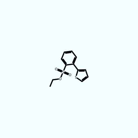 CCOS(=O)(=O)c1ccccc1-c1cccs1